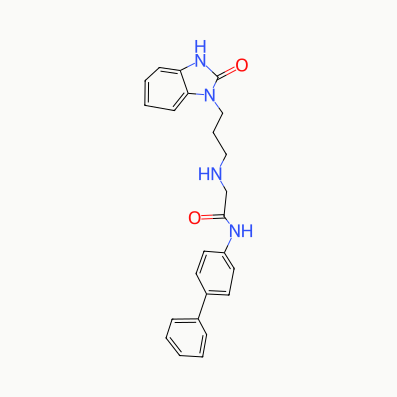 O=C(CNCCCn1c(=O)[nH]c2ccccc21)Nc1ccc(-c2ccccc2)cc1